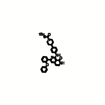 CC(C)(C)OC(=O)N1CCC(c2ccc(Nc3nc(-c4ccccc4Oc4ccccc4)cc4cc[nH]c(=O)c34)cc2)CC1